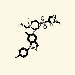 Cc1cc2c(cnn2-c2ccc(F)cc2)cc1[C@H]1CN(S(=O)(=O)c2cnn(C)n2)C[C@@H](C)N1CC(C)C